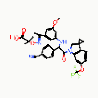 COc1cc(NC(C(=O)N2CC3(CC3)c3ccc(OC(F)(F)F)cc32)c2ccc(C#N)cc2)cc(C(C)=NOC(C)(C)C(=O)O)c1